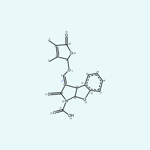 CC1=C(C)C(O/C=C2/C(=O)N(C(=O)O)C3Oc4ccccc4C23)OC1=O